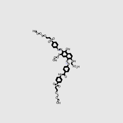 O=C(Nc1ccc(S(=O)(=O)CCOSOOO)cc1)c1ccc(/N=N/c2c(NCS(=O)(=O)O)ccc3c(O)c(/N=N/c4ccc(S(=O)(=O)CCOSOOO)cc4)c(SOOO)cc23)cc1